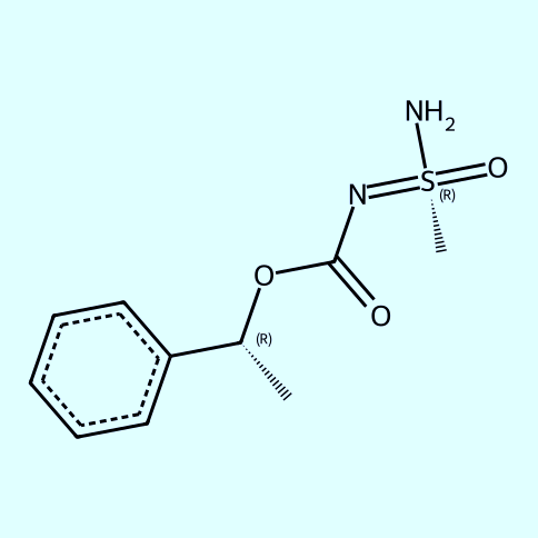 C[C@@H](OC(=O)N=[S@@](C)(N)=O)c1ccccc1